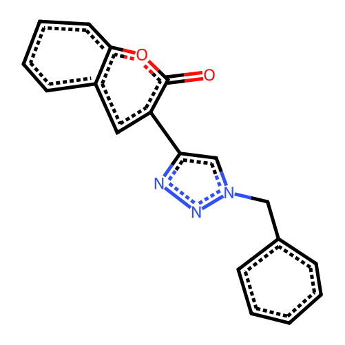 O=c1oc2ccccc2cc1-c1cn(Cc2ccccc2)nn1